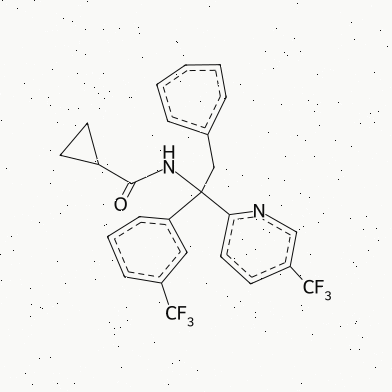 O=C(NC(Cc1ccccc1)(c1cccc(C(F)(F)F)c1)c1ccc(C(F)(F)F)cn1)C1CC1